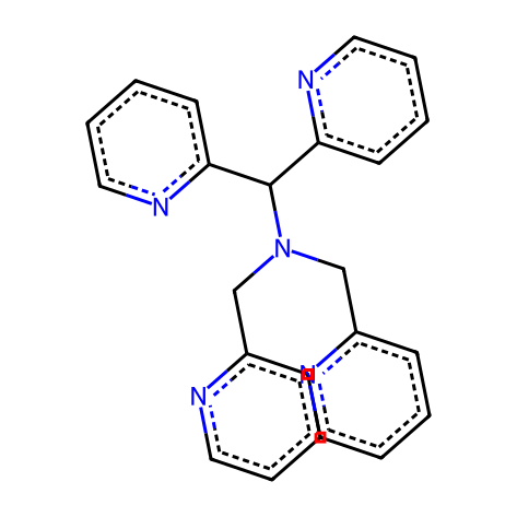 c1ccc(CN(Cc2ccccn2)C(c2ccccn2)c2ccccn2)nc1